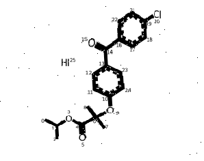 CC(C)OC(=O)C(C)(C)Oc1ccc(C(=O)c2ccc(Cl)cc2)cc1.I